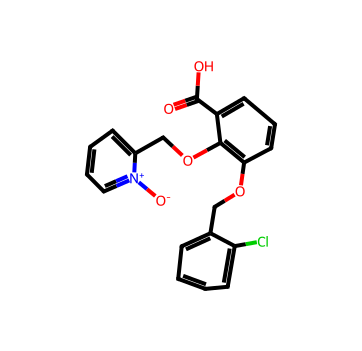 O=C(O)c1cccc(OCc2ccccc2Cl)c1OCc1cccc[n+]1[O-]